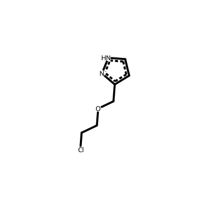 ClCCOCc1cc[nH]n1